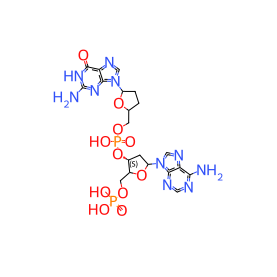 Nc1nc2c(ncn2C2CCC(COP(=O)(O)O[C@H]3CC(n4cnc5c(N)ncnc54)OC3COP(=O)(O)O)O2)c(=O)[nH]1